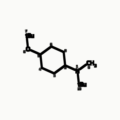 CN(C1CCC(OC(C)(C)C)CC1)C(C)(C)C